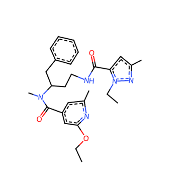 CCOc1cc(C(=O)N(C)C(CCNC(=O)c2cc(C)nn2CC)Cc2ccccc2)cc(C)n1